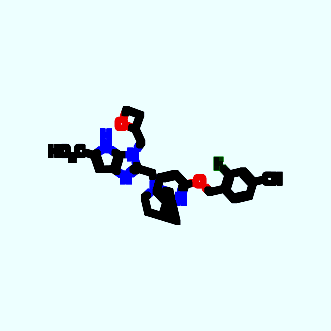 N#Cc1ccc(COc2cccc(C34CCN(Cc5nc6cc(C(=O)O)[nH]c6n5CC5CCO5)CC3C4)n2)c(F)c1